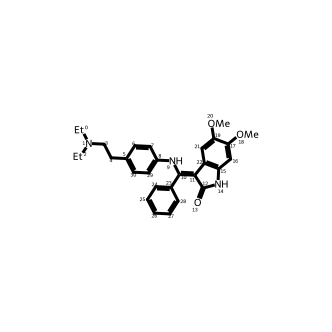 CCN(CC)CCc1ccc(NC(=C2C(=O)Nc3cc(OC)c(OC)cc32)c2ccccc2)cc1